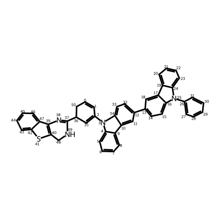 C1=CC(n2c3ccccc3c3cc(-c4ccc5c(c4)c4ccccc4n5-c4ccccc4)ccc32)=CC(C2=Nc3c(sc4ccccc34)CN2)C1